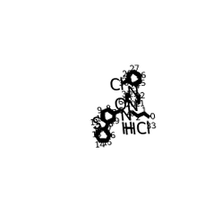 CCCC(NC(=O)c1ccc2sc3ccccc3c2c1)N1CCN(c2ccccc2Cl)CC1.Cl